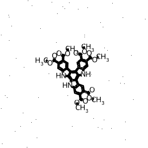 COC(=O)c1cc2[nH]c3c4[nH]c5cc(C(=O)OC)c(C(=O)OC)cc5c4c4c5cc(C(=O)OC)c(C(=O)OC)cc5[nH]c4c3c2cc1C(=O)OC